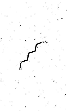 CCSCCCCOC